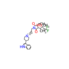 C=CC1C(=O)N(CC2C[C@@H]2CN2CCC(c3c[nH]c4ccccc34)CC2)C(=O)C1C(C)C(C)(O)C1CC1(F)F